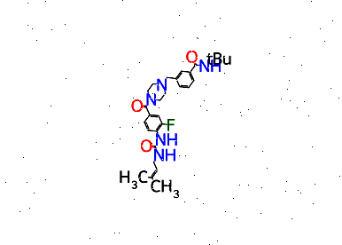 CC(C)=CCNC(=O)Nc1ccc(C(=O)N2CCN(Cc3cccc(C(=O)NC(C)(C)C)c3)CC2)cc1F